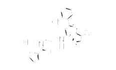 CN(CCCNc1cc(-c2ccccc2Cl)nc2c(Br)cnn12)C(=O)c1ccco1